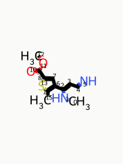 CN/C(=C\C=N)c1cc(C(=O)OC)sc1C